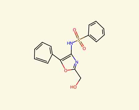 O=S(=O)(Nc1nc(CO)oc1-c1ccccc1)c1ccccc1